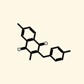 CC1=C(Cc2ccc(C)cc2)C(=O)c2ccc(C)cc2C1=O